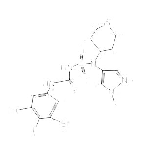 CCc1cc(NC(=O)NS(=O)(=O)N(c2cnn(C)c2)C2CCOCC2)cc(CC)c1F